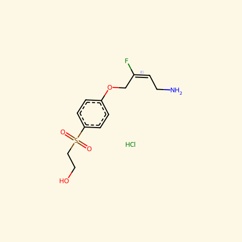 Cl.NC/C=C(/F)COc1ccc(S(=O)(=O)CCO)cc1